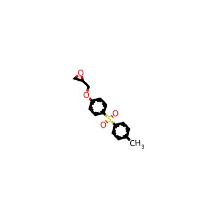 Cc1ccc(S(=O)(=O)c2ccc(OCC3CO3)cc2)cc1